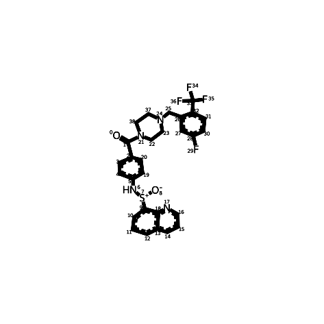 O=C(c1ccc(N[S+]([O-])c2cccc3cccnc23)cc1)N1CCN(Cc2cc(F)ccc2C(F)(F)F)CC1